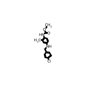 CCOC(=O)Nc1ccc(NCc2ccc(Cl)cc2)cc1C